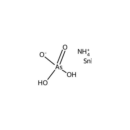 O=[As]([O-])(O)O.[NH4+].[Sn]